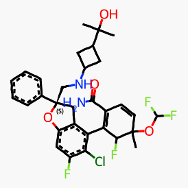 CC(C)(O)C1CC(NC[C@@]2(c3ccccc3)Cc3c(cc(F)c(Cl)c3C3=C(C(N)=O)C=CC(C)(OC(F)F)C3F)O2)C1